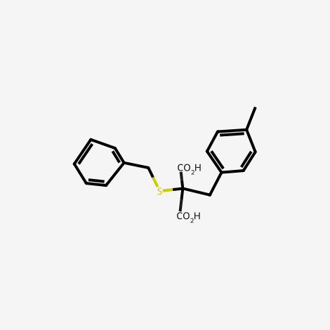 Cc1ccc(CC(SCc2ccccc2)(C(=O)O)C(=O)O)cc1